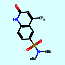 CCCCN(CCCC)S(=O)(=O)c1ccc2[nH]c(=O)cc(C(F)(F)F)c2c1